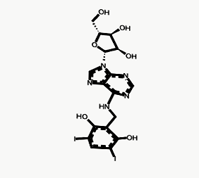 OC[C@H]1O[C@@H](n2cnc3c(NCc4c(O)c(I)cc(I)c4O)ncnc32)[C@H](O)[C@@H]1O